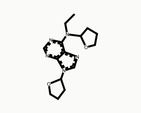 CCN(c1ncnc2c1ncn2C1CCCO1)C1CCCO1